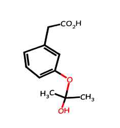 CC(C)(O)Oc1cccc(CC(=O)O)c1